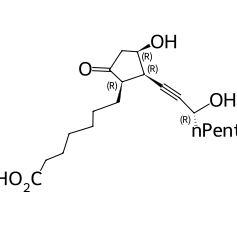 CCCCC[C@@H](O)C#C[C@@H]1[C@H](O)CC(=O)[C@@H]1CCCCCCC(=O)O